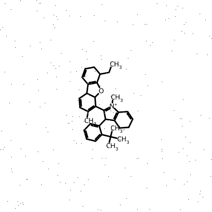 CCC1CC=CC2=C1OC1C(C3=[N+](C)C4=C(CCC=C4)C3c3ccccc3C(C)(C)C)=C(C)C=CC21